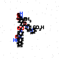 Cc1cc(CC(OC(=O)N2CCC(N3CCc4ccccc4NC3=O)CC2)C(=O)N2CCC(N3CCCC3C(=O)O)CC2)cc2oc(=O)[nH]c12